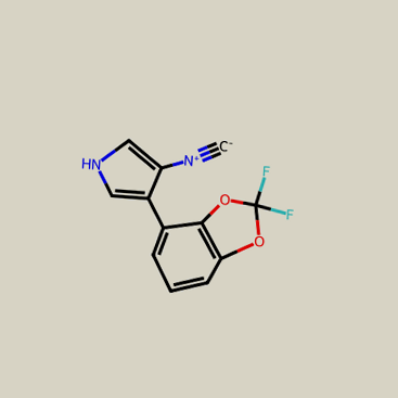 [C-]#[N+]c1c[nH]cc1-c1cccc2c1OC(F)(F)O2